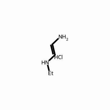 CCNC=CN.Cl